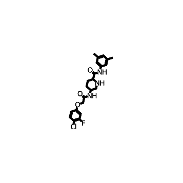 Cc1cc(C)cc(NC(=O)C2CCC(NC(=O)COc3ccc(Cl)c(F)c3)CN2)c1